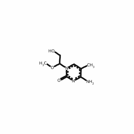 COC(CO)n1cc(C)c(N)nc1=O